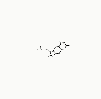 CCC(=O)NCc1c(C)oc2c(C)c3oc(=O)cc(C)c3cc12